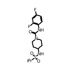 CC(C)S(=O)(=O)NC1CCN(C(=O)Nc2ccc(F)cc2F)CC1